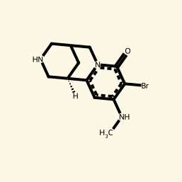 CNc1cc2n(c(=O)c1Br)CC1CNC[C@H]2C1